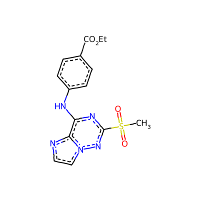 CCOC(=O)c1ccc(Nc2nc(S(C)(=O)=O)nn3ccnc23)cc1